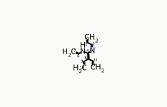 C=C/C=N\C(NC=C)=C(C=C)C=C